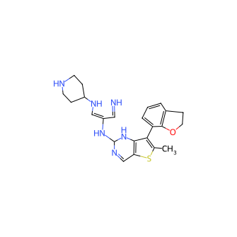 Cc1sc2c(c1-c1cccc3c1OCC3)NC(N/C(C=N)=C/NC1CCNCC1)N=C2